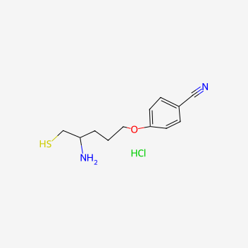 Cl.N#Cc1ccc(OCCCC(N)CS)cc1